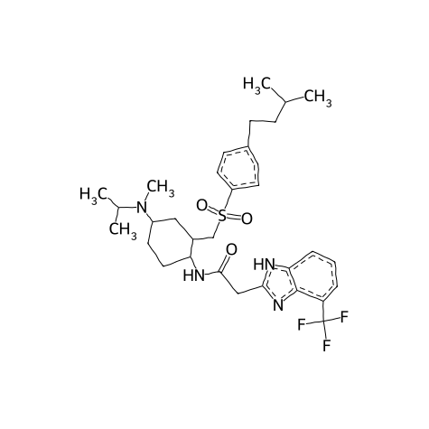 CC(C)CCc1ccc(S(=O)(=O)CC2CC(N(C)C(C)C)CCC2NC(=O)Cc2nc3c(C(F)(F)F)cccc3[nH]2)cc1